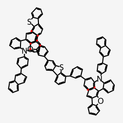 c1cc(-c2cccc(N(c3ccc(-c4ccc5ccccc5c4)cc3)c3ccccc3-c3cccc4c3oc3ccccc34)c2)cc(-c2cccc3c2sc2cc(-c4ccc5c(c4)oc4c(-c6ccccc6N(c6ccc(-c7ccc8ccccc8c7)cc6)c6cccc(-c7ccc8c(c7)sc7ccccc78)c6)cccc45)ccc23)c1